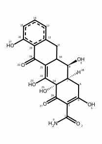 NC(=O)C1=C(O)C[C@@H]2[C@H](O)C3Cc4cccc(O)c4C(=O)C3=C(O)[C@]2(O)C1=O